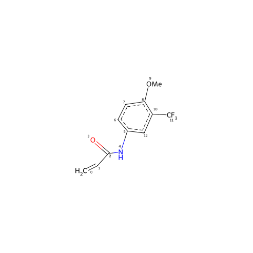 C=CC(=O)Nc1ccc(OC)c(C(F)(F)F)c1